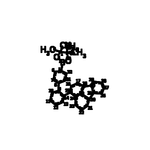 CC1(C)OB(c2ccc(-c3ccccc3-c3ccc4c5c(cccc35)-c3ccccc3-4)cc2)OC1(C)C